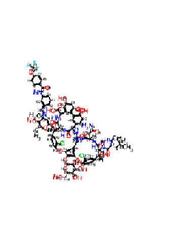 CN[C@H](CC(C)C)C(=O)N[C@H]1C(=O)N[C@@H](CC(N)=O)C(=O)NC2C(=O)NC3C(=O)N[C@H](C(=O)N[C@@H](C(=O)O)c4cc(O)cc(O)c4-c4cc3ccc4O)[C@H](O[C@H]3C[C@](C)(NCc4cccc(NC(=O)c5ccc(OC(F)(F)F)cc5)c4)[C@@H](O)[C@@H](C)O3)c3ccc(c(Cl)c3)Oc3cc2cc(c3OC2O[C@H](CO)[C@@H](O)[C@@H](O)[C@H]2O)Oc2ccc(cc2Cl)[C@H]1O